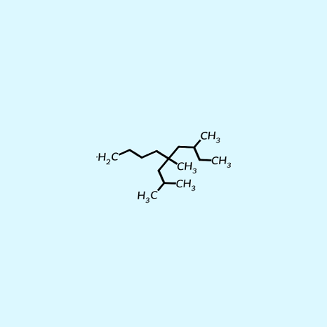 [CH2]CCCC(C)(CC(C)C)CC(C)CC